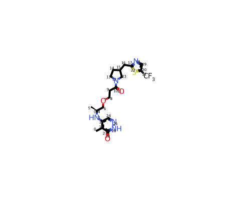 Cc1c(N[C@@H](C)COCCC(=O)N2CCC(Cc3ncc(C(F)(F)F)s3)C2)cn[nH]c1=O